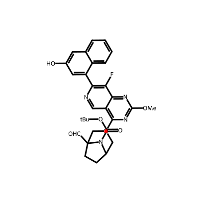 COc1nc(N2CC3CCC(C=O)(C2)N3C(=O)OC(C)(C)C)c2cnc(-c3cc(O)cc4ccccc34)c(F)c2n1